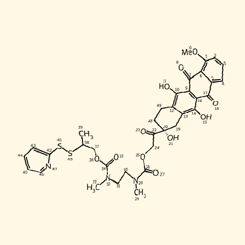 COc1cccc2c1C(=O)c1c(O)c3c(c(O)c1C2=O)C[C@@](O)(C(=O)COC(=O)N(C)CCN(C)C(=O)OCC(C)SSc1ccccn1)CC3